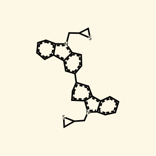 c1ccc2c(c1)c1cc(-c3ccc4c(c3)c3ccccc3n4CC3CS3)ccc1n2CC1CS1